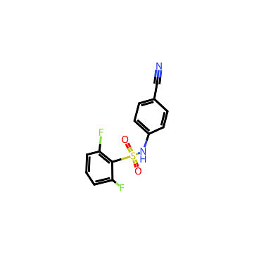 N#Cc1ccc(NS(=O)(=O)c2c(F)cccc2F)cc1